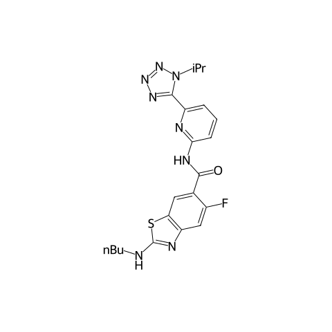 CCCCNc1nc2cc(F)c(C(=O)Nc3cccc(-c4nnnn4C(C)C)n3)cc2s1